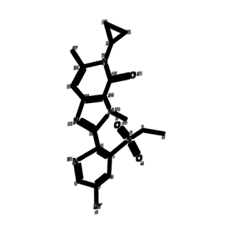 CCS(=O)(=O)c1cc(Br)cnc1-c1nc2cc(C)n(C3CC3)c(=O)c2n1C